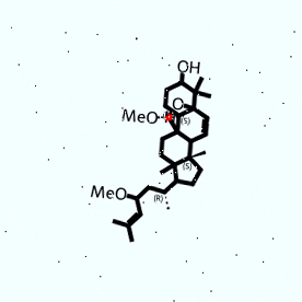 COC(C=C(C)C)C[C@@H](C)C1CC[C@@]2(C)C3C=CC45O[C@@H](OC)C3(CCC12C)[C@@H]4CCC(O)C5(C)C